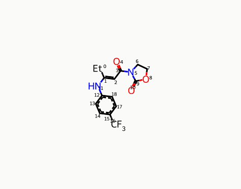 CCC(=CC(=O)N1CCOC1=O)Nc1ccc(C(F)(F)F)cc1